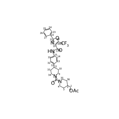 CC(=O)OCC1CCN(C(=O)N2CCC(c3ccc(NC(=O)c4nc(-c5ccccc5)oc4C(F)(F)F)cc3)CC2)CC1